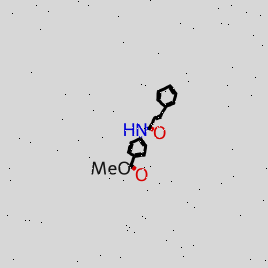 COC(=O)c1ccc(NC(=O)/C=C/c2ccccc2)cc1